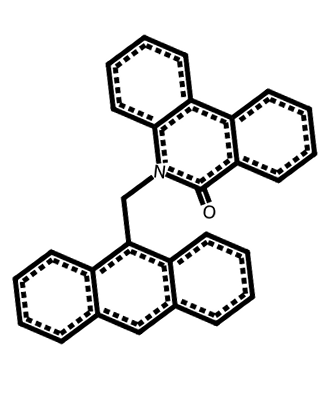 O=c1c2ccccc2c2ccccc2n1Cc1c2ccccc2cc2ccccc12